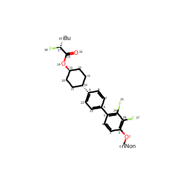 CCCCCCCCCOc1ccc(-c2ccc([C@H]3CC[C@H](OC(=O)[C@@H](F)[C@@H](C)CC)CC3)cc2)c(F)c1F